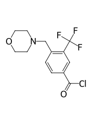 O=C(Cl)c1ccc(CN2CCOCC2)c(C(F)(F)F)c1